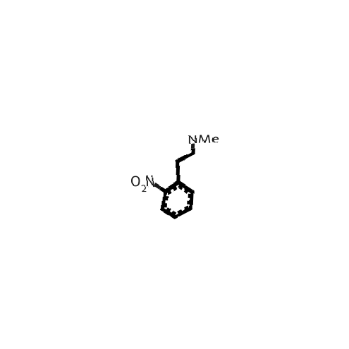 CNCCc1ccccc1[N+](=O)[O-]